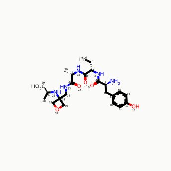 CC(C)C[C@H](NC(=O)[C@@H](N)Cc1ccc(O)cc1)C(=O)N[C@@H](C)C(=O)NCC1(N[C@@H](C)C(=O)O)COC1